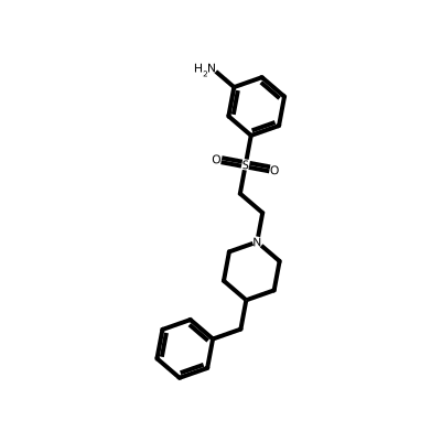 Nc1cccc(S(=O)(=O)CCN2CCC(Cc3ccccc3)CC2)c1